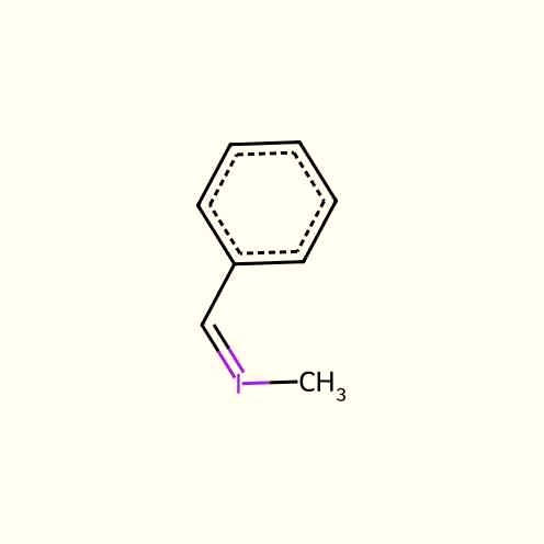 C/I=C\c1ccccc1